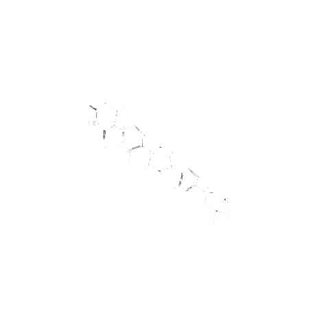 CC1(C)OB(c2ccc(C3CCN(c4ncc(C5CCC(=O)NC5=O)cc4F)CC3)cc2)OC1(C)C